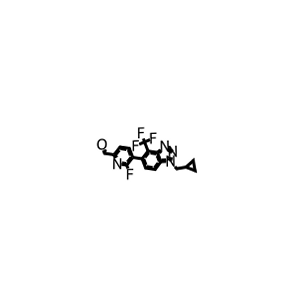 O=Cc1ccc(-c2ccc3c(nnn3CC3CC3)c2C(F)(F)F)c(F)n1